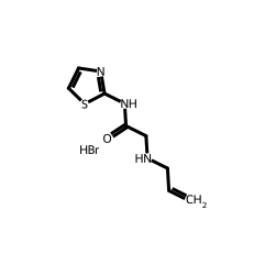 Br.C=CCNCC(=O)Nc1nccs1